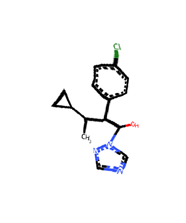 CC(C1CC1)C(c1ccc(Cl)cc1)C(O)n1cncn1